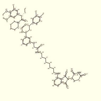 CC[C@H](C(=O)N1CCCC[C@H]1C(=O)OC(CCc1ccc(C)c(C)c1)c1cccc(OCC(=O)NCCCCCCCCNc2cccc3c2C(=O)N(C2CCC(=O)NC2=O)C3=O)c1)c1cc(C)c(OC)c(OC)c1